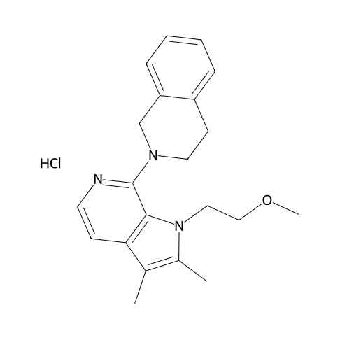 COCCn1c(C)c(C)c2ccnc(N3CCc4ccccc4C3)c21.Cl